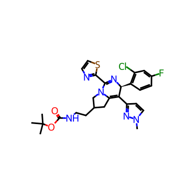 Cn1ccc(C2=C3CC(CCNC(=O)OC(C)(C)C)CN3C(c3nccs3)=N[C@H]2c2ccc(F)cc2Cl)n1